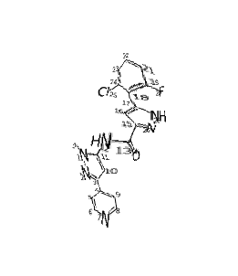 Cn1nc(-c2ccncc2)cc1NC(=O)c1cc(-c2c(F)cccc2Cl)[nH]n1